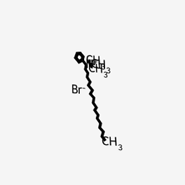 CCCCCCCCCCCCCCCCCCC(c1ccccc1)[N+](C)(C)C.[Br-]